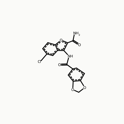 NC(=O)c1oc2ccc(Cl)cc2c1NC(=O)c1ccc2c(c1)OCO2